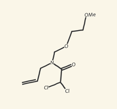 C=CCN(COCCOC)C(=O)C(Cl)Cl